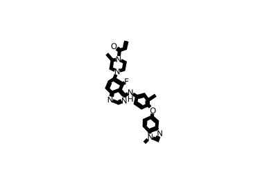 C=CC(=O)N1CCN(c2ccc3ncnc(Nc4ccc(Oc5ccc6c(c5)ncn6C)c(C)c4)c3c2F)CC1C